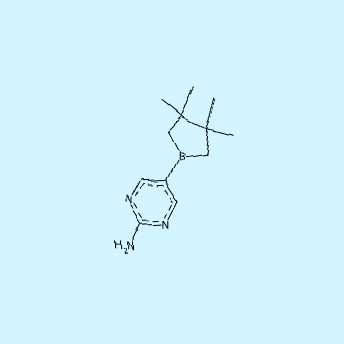 CC1(C)CB(c2cnc(N)nc2)CC1(C)C